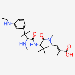 CCNc1cccc(C(C)(C)C(NC)C(=O)NC(C(=O)N(C)C/C=C(\C)C(=O)O)C(C)(C)C)c1